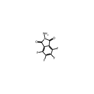 NN1C(=O)c2c(F)c(F)c(F)c(F)c2C1=O